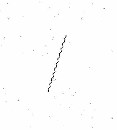 CCCCCCCCCCCCCCC[CH]CCCCCCF